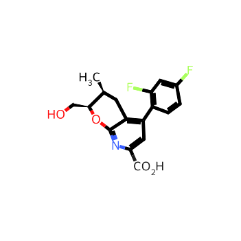 C[C@H]1Cc2c(-c3ccc(F)cc3F)cc(C(=O)O)nc2O[C@H]1CO